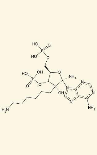 NCCCCCC[C@@]1(O)[C@H](OP(=O)(O)O)[C@@H](COP(=O)(O)O)O[C@@]1(N)n1cnc2c(N)ncnc21